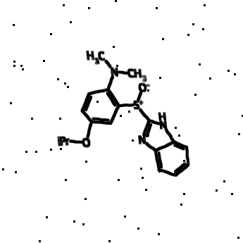 CC(C)Oc1ccc(N(C)C)c([S+]([O-])c2nc3ccccc3[nH]2)c1